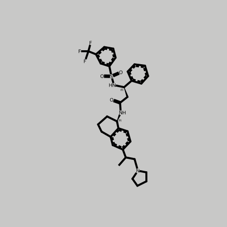 CC(CN1CCCC1)c1ccc2c(c1)CCC[C@H]2NC(=O)C[C@@H](NS(=O)(=O)c1cccc(C(F)(F)F)c1)c1ccccc1